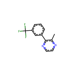 Cc1nccnc1-c1cccc(C(F)(F)F)c1